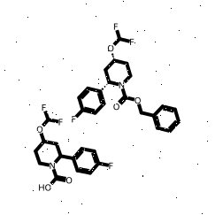 O=C(O)N1CCC(OC(F)F)CC1c1ccc(F)cc1.O=C(OCc1ccccc1)N1CC[C@@H](OC(F)F)C[C@H]1c1ccc(F)cc1